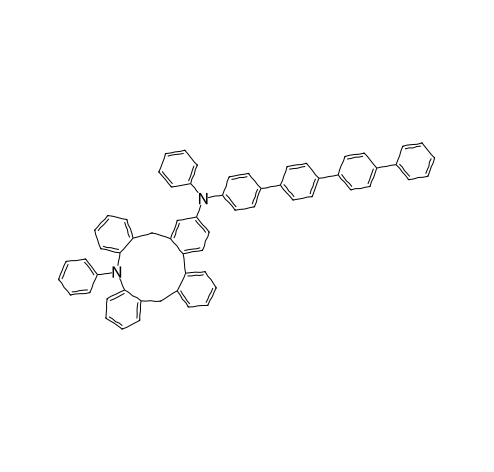 c1ccc(-c2ccc(-c3ccc(-c4ccc(N(c5ccccc5)c5ccc6c(c5)Cc5ccccc5N(c5ccccc5)c5ccccc5Cc5ccccc5-6)cc4)cc3)cc2)cc1